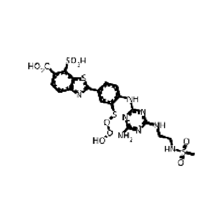 CS(=O)(=O)NCCNc1nc(N)nc(Nc2ccc(-c3nc4ccc(C(=O)O)c(S(=O)(=O)O)c4s3)cc2SOOO)n1